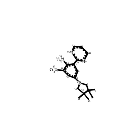 CC1(C)CB(c2cc(-c3ncccn3)c(N)c([N+](=O)[O-])c2)CC1(C)C